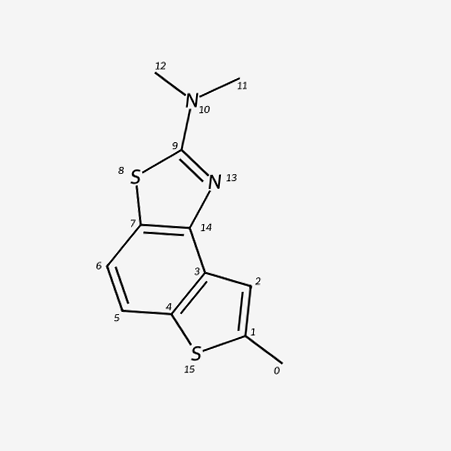 Cc1cc2c(ccc3sc(N(C)C)nc32)s1